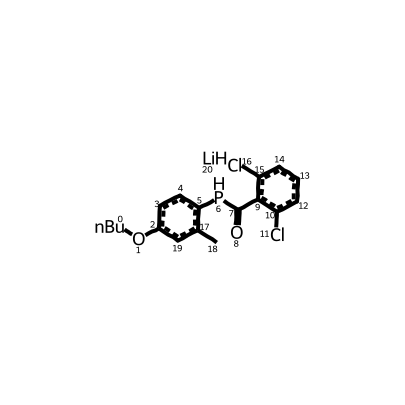 CCCCOc1ccc(PC(=O)c2c(Cl)cccc2Cl)c(C)c1.[LiH]